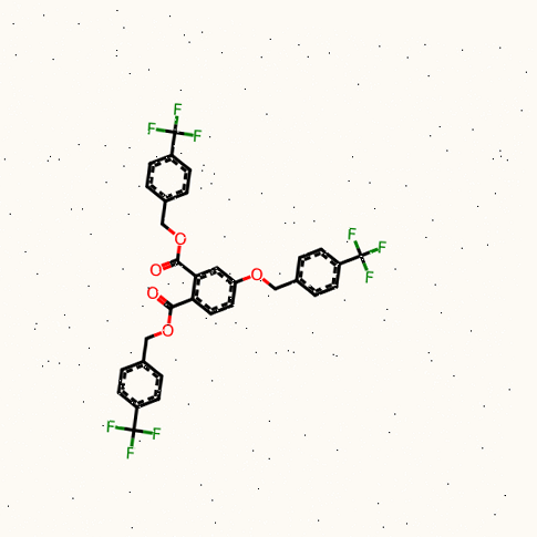 O=C(OCc1ccc(C(F)(F)F)cc1)c1ccc(OCc2ccc(C(F)(F)F)cc2)cc1C(=O)OCc1ccc(C(F)(F)F)cc1